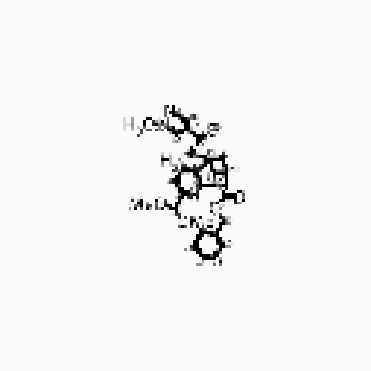 COC(OC)c1ccc2c(n1)N(C(=O)OCc1ccccc1)C1CC2(N(C)C(=O)c2cnn(C)c2)C1